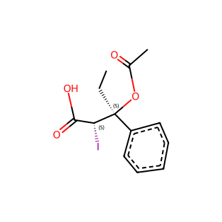 CC[C@](OC(C)=O)(c1ccccc1)[C@H](I)C(=O)O